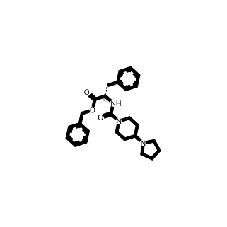 O=C(OCc1ccccc1)[C@H](Cc1ccccc1)NC(=O)N1CCC(N2CCCC2)CC1